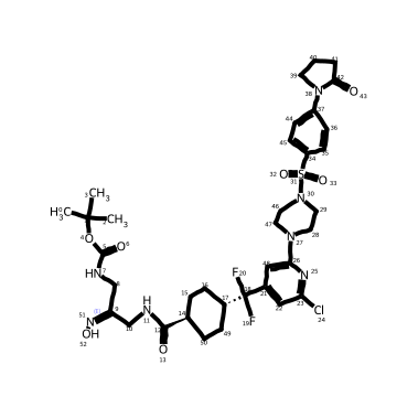 CC(C)(C)OC(=O)NC/C(CNC(=O)[C@H]1CC[C@H](C(F)(F)c2cc(Cl)nc(N3CCN(S(=O)(=O)c4ccc(N5CCCC5=O)cc4)CC3)c2)CC1)=N/O